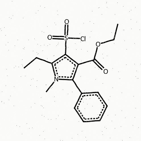 CCOC(=O)c1c(S(=O)(=O)Cl)c(CC)n(C)c1-c1ccccc1